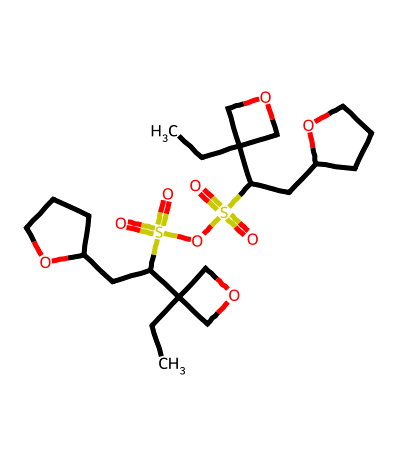 CCC1(C(CC2CCCO2)S(=O)(=O)OS(=O)(=O)C(CC2CCCO2)C2(CC)COC2)COC1